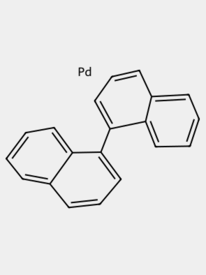 [Pd].c1ccc2c(-c3cccc4ccccc34)cccc2c1